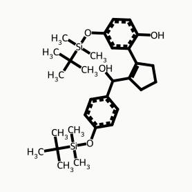 CC(C)(C)[Si](C)(C)Oc1ccc(C(O)C2=C(c3cc(O[Si](C)(C)C(C)(C)C)ccc3O)CCC2)cc1